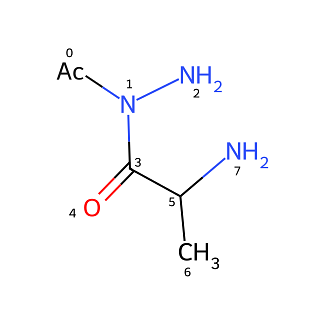 CC(=O)N(N)C(=O)C(C)N